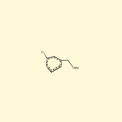 COCc1cccc(Br)c1